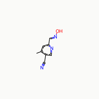 Cc1cc(C=NO)ncc1C#N